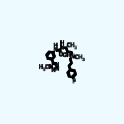 C[C@@H](NC(=O)Nc1cccc(-c2nnnn2C)c1)[C@H](O)CN(C)CCCc1ccc(F)cc1